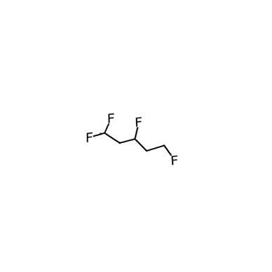 FCCC(F)C[C](F)F